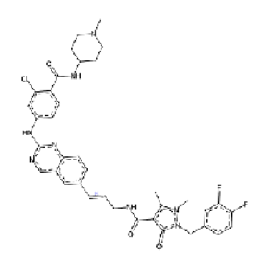 Cc1c(C(=O)NC/C=C/c2ccc3nc(Nc4ccc(C(=O)NC5CCN(C)CC5)c(Cl)c4)ncc3c2)c(=O)n(Cc2ccc(F)c(F)c2)n1C